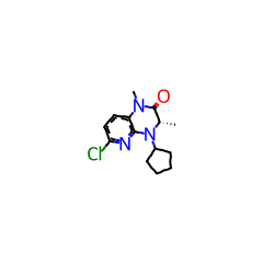 C[C@H]1C(=O)N(C)c2ccc(Cl)nc2N1C1CCCC1